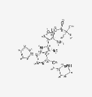 CCn1c(-c2nonc2N)nc2c(-c3ccccc3)ncc(OCC3CCCNC3)c21.O=C(O)C(F)(F)F